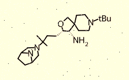 CN1C2CCC1CN(C(C)(C)CC[C@@H]1OCC3(CCN(C(C)(C)C)CC3)[C@@H]1N)C2